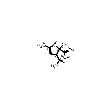 CC1=CC(C(=O)O)C(C)(C(=O)O)O1